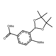 CNc1ccc(C(=O)OC)cc1B1OC(C)(C)C(C)(C)O1